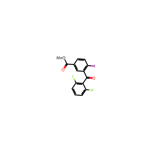 COC(=O)c1ccc(I)c(C(=O)c2c(F)cccc2F)c1